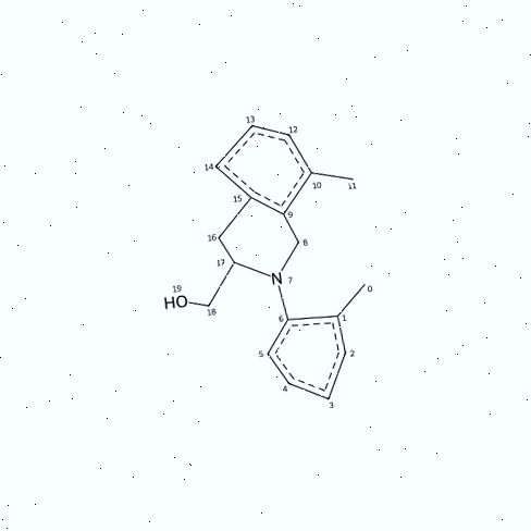 Cc1ccccc1N1Cc2c(C)cccc2CC1CO